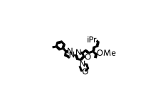 C=C(OC)/C(=C\C=C/C(C)C)c1cc2nc(-n3ccc(-c4cccc(C)c4)n3)cc(N3CCOCC3)c2o1